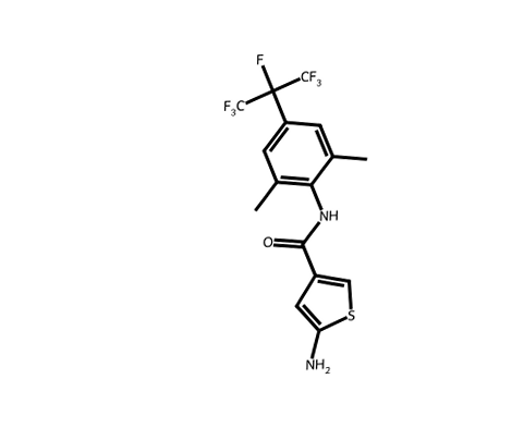 Cc1cc(C(F)(C(F)(F)F)C(F)(F)F)cc(C)c1NC(=O)c1csc(N)c1